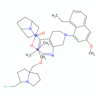 CCc1cccc2cc(OC)cc(N3CCc4c(nc(OCC56CCCN5C(CF)CC6)nc4N4CC5CCC(C4)N5C(=O)OC(C)(C)C)C3)c12